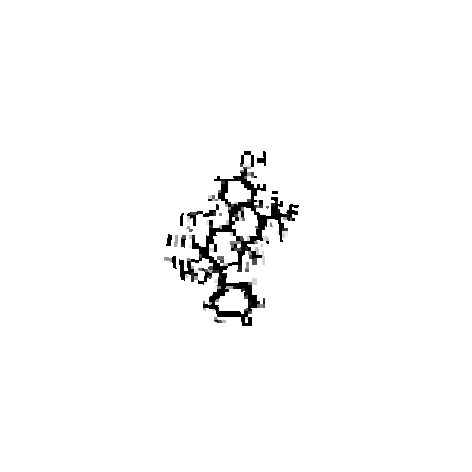 CC[C@@]12C[C@@](C)(O)[C@](O)(c3ccccc3)C[C@H]1C=C(C(F)(F)F)c1cc(O)ccc12